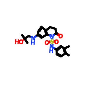 Cc1ccc(NS(=O)(=O)N2C(=O)CCc3ccc(NCC(C)(C)O)cc32)cc1C